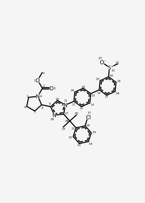 COC(=O)N1CCCC1c1cn(-c2ccc(-c3cccc([S+](C)[O-])c3)cc2)c(C(C)(C)c2ccccc2Cl)n1